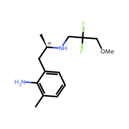 COCC(F)(F)CN[C@H](C)Cc1cccc(C)c1N